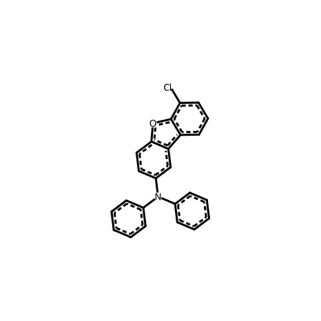 Clc1cccc2c1oc1ccc(N(c3ccccc3)c3ccccc3)cc12